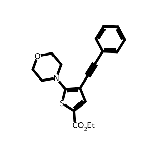 CCOC(=O)c1cc(C#Cc2ccccc2)c(N2CCOCC2)s1